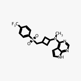 CN(c1ncnc2[nH]ccc12)C1CC(CS(=O)(=O)c2ccc(C(F)(F)F)cc2)C1